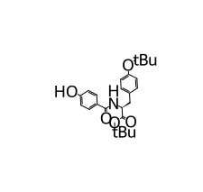 CC(C)(C)OC(=O)[C@H](Cc1ccc(OC(C)(C)C)cc1)NC(=O)c1ccc(O)cc1